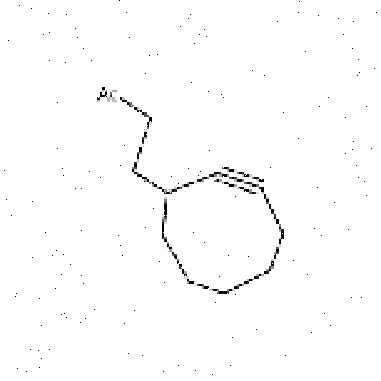 CC(=O)CCC1C#CCCCCC1